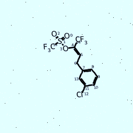 O=S(=O)(OC(=CCc1cccc(Cl)c1)C(F)(F)F)C(F)(F)F